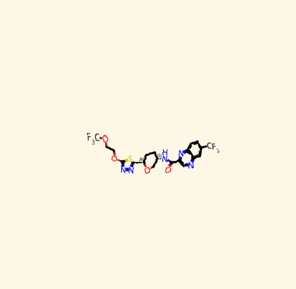 O=C(N[C@H]1CC[C@H](c2nnc(OCCOC(F)(F)F)s2)OC1)c1cnc2cc(C(F)(F)F)ccc2n1